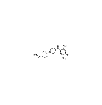 CCCO[C@H]1CC[C@H](N2CCC(Nc3cc(C)c(F)cc3N=O)CC2)CC1